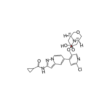 O=C(Nc1cc2cc(-c3cc(Cl)ncc3O[C@@H]3C[C@H]4COC[C@@H](C3)N4C(=O)O)ccn2n1)C1CC1